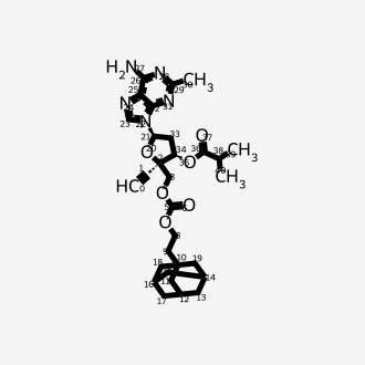 C#C[C@]1(COC(=O)OCCC23CC4CC(CC(C4)C2)C3)O[C@@H](n2cnc3c(N)nc(C)nc32)C[C@@H]1OC(=O)C(C)C